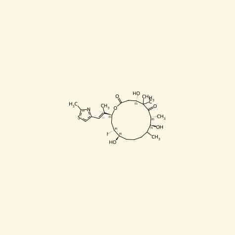 C/C(=C\c1csc(C)n1)[C@@H]1C[C@@H](I)[C@H](O)CCCC(C)[C@H](O)[C@@H](C)C(=O)C(C)(C)[C@@H](O)CC(=O)O1